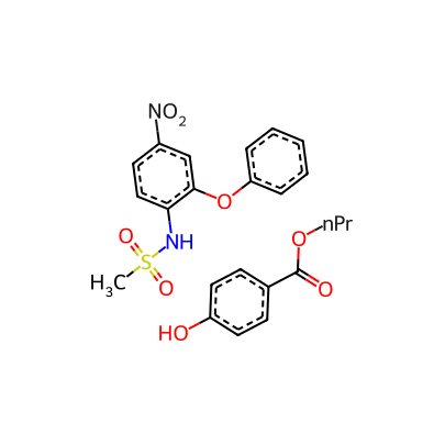 CCCOC(=O)c1ccc(O)cc1.CS(=O)(=O)Nc1ccc([N+](=O)[O-])cc1Oc1ccccc1